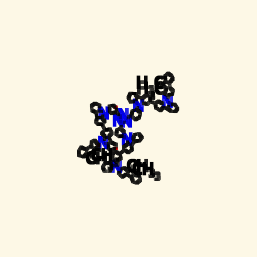 CC1(C)c2ccccc2-c2ccc(-n3c4ccccc4c4ccc(-c5ccc6c7ccccc7n(-c7cccc(-c8nc(-c9cccc(-n%10c%11ccccc%11c%11ccc(-c%12ccc%13c%14ccccc%14n(-c%14ccc%15c(c%14)C(C)(C)c%14ccccc%14-%15)c%13c%12)cc%11%10)c9)nc(-c9cccc(-n%10c%11ccccc%11c%11ccc(-c%12ccc%13c%14ccccc%14n(-c%14ccc%15c(c%14)C(C)(C)c%14ccccc%14-%15)c%13c%12)cc%11%10)c9)n8)c7)c6c5)cc43)cc21